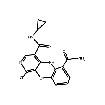 NC(=O)c1cccc2c1Nc1c(C(=O)NC3CC3)cnc(Cl)c1O2